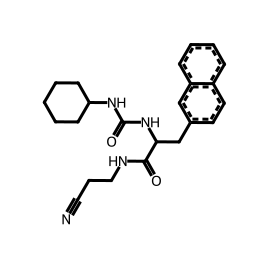 N#CCCNC(=O)C(Cc1ccc2ccccc2c1)NC(=O)NC1CCCCC1